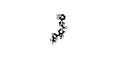 C[C@H]1c2nn(C)c(-c3cncc(C(F)(F)F)n3)c2CCN1C(=O)c1ncn(-c2ccc[nH]c2=O)n1